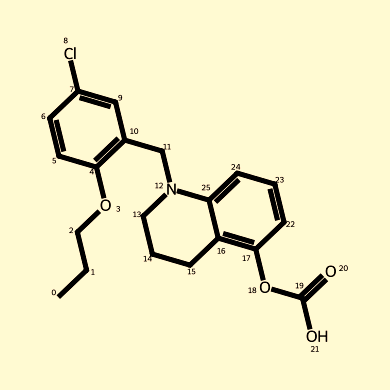 CCCOc1ccc(Cl)cc1CN1CCCc2c(OC(=O)O)cccc21